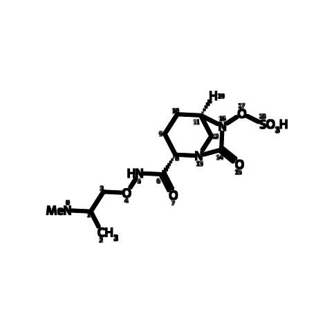 CNC(C)CONC(=O)[C@@H]1CC[C@@H]2CN1C(=O)N2OS(=O)(=O)O